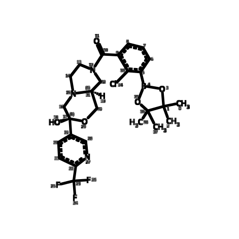 CC1(C)OB(c2cccc(C(=O)N3CCN4C[C@@](O)(c5ccc(C(F)(F)F)nc5)OC[C@@H]4C3)c2Cl)OC1(C)C